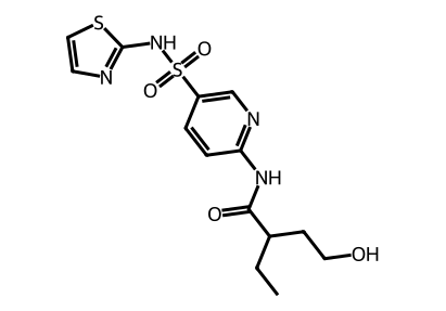 CCC(CCO)C(=O)Nc1ccc(S(=O)(=O)Nc2nccs2)cn1